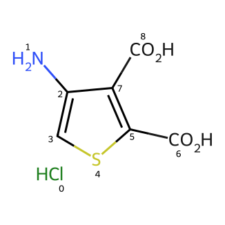 Cl.Nc1csc(C(=O)O)c1C(=O)O